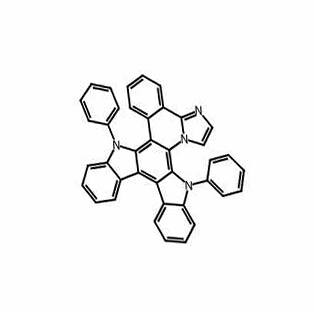 c1ccc(-n2c3ccccc3c3c4c5ccccc5n(-c5ccccc5)c4c4c(c5ccccc5c5nccn54)c32)cc1